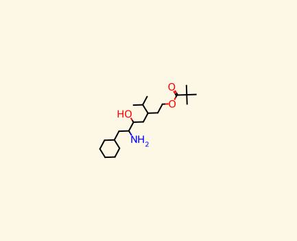 CC(C)C(CCOC(=O)C(C)(C)C)CC(O)C(N)CC1CCCCC1